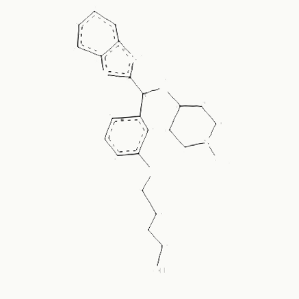 CN1CCC(OC(c2cccc(OCCCCO)c2)c2nc3ccccc3s2)CC1